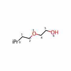 CC(C)C[CH]OCCO